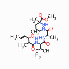 C/C=C/[C@@H](OC)C(C)C(=O)NC(C(=O)N[C@@H](C)C(=O)N1CCCC(C)(C(=O)OC)N1)C(C)C